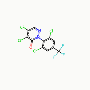 O=c1c(Cl)c(Cl)cnn1-c1c(Cl)cc(C(F)(F)F)cc1Cl